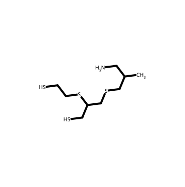 CC(CN)CSCC(CS)SCCS